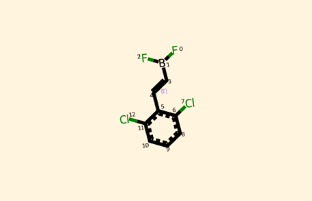 FB(F)/C=C/c1c(Cl)cccc1Cl